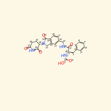 O=C(O)N[C@H](Cc1ccccc1)C(=O)NCc1ccc2c(c1)CN(C1CCC(=O)NC1=O)C2=O